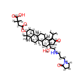 CC(C)C1=C2[C@H]3CC[C@@H]4[C@@]5(C)CC[C@H](OC(=O)CC(C)(C)C(=O)O)C(C)(C)[C@@H]5CC[C@@]4(C)[C@]3(C)CCC2([C@H](O)CNCCCN2CCCC2=O)CC1=O